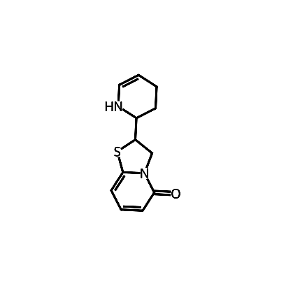 O=c1cccc2n1CC(C1CCC=CN1)S2